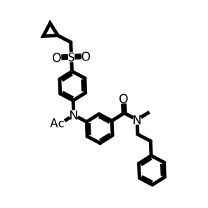 CC(=O)N(c1ccc(S(=O)(=O)CC2CC2)cc1)c1cccc(C(=O)N(C)CCc2ccccc2)c1